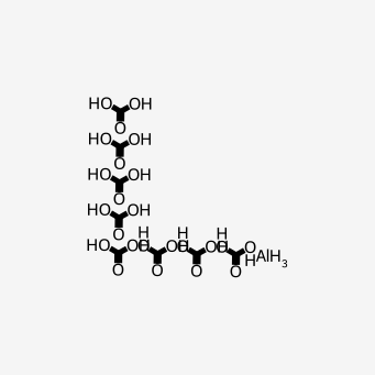 O=C(O)O.O=C(O)O.O=C(O)O.O=C(O)O.O=C(O)O.O=C(O)O.O=C(O)O.O=C(O)O.[AlH3]